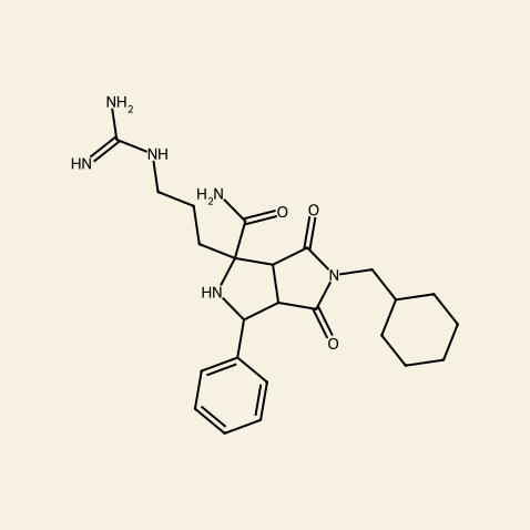 N=C(N)NCCCC1(C(N)=O)NC(c2ccccc2)C2C(=O)N(CC3CCCCC3)C(=O)C21